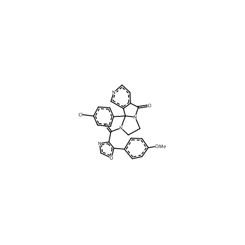 COc1ccc(-c2ocnc2C(=O)N2CCN3C(=O)c4ccncc4C32c2ccc(Cl)cc2)cc1